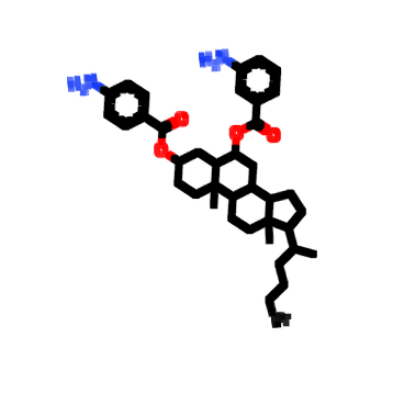 CC(C)CCCC(C)C1CCC2C3CC(OC(=O)c4cccc(N)c4)C4CC(OC(=O)c5ccc(N)cc5)CCC4(C)C3CCC12C